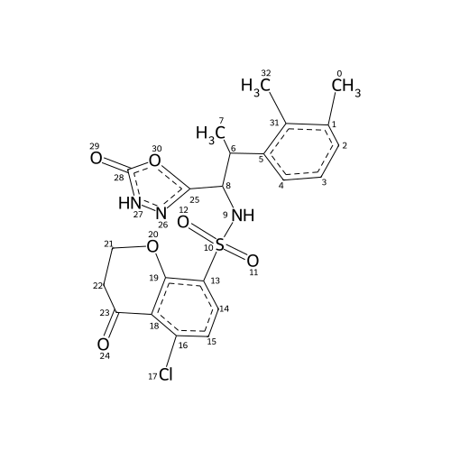 Cc1cccc(C(C)C(NS(=O)(=O)c2ccc(Cl)c3c2OCCC3=O)c2n[nH]c(=O)o2)c1C